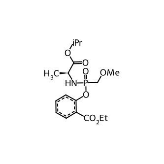 CCOC(=O)c1ccccc1OP(=O)(COC)N[C@@H](C)C(=O)OC(C)C